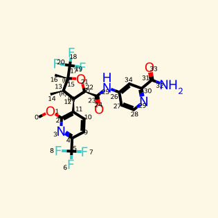 COc1nc(C(F)(F)F)ccc1[C@H]1[C@@H](C)[C@](C)(C(F)(F)F)O[C@H]1C(=O)Nc1ccnc(C(N)=O)c1